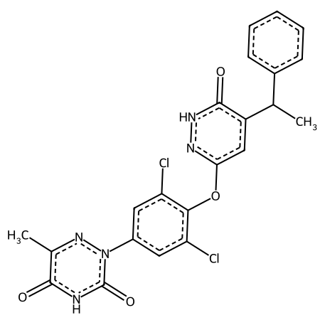 Cc1nn(-c2cc(Cl)c(Oc3cc(C(C)c4ccccc4)c(=O)[nH]n3)c(Cl)c2)c(=O)[nH]c1=O